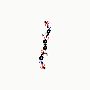 C=CC(=O)OCCN(C)c1ccc(/C=C(\C#N)C(=O)Oc2ccc(C(C)(C)c3ccc(OC(=O)/C(C#N)=C/c4ccc(N(C)CCOC(=O)C=C)cc4)cc3)cc2)cc1